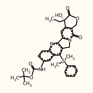 CC[C@@]1(O)C(=O)OCc2c1cc1n(c2=O)Cc2c-1nc1ccc(NC(=O)OC(C)(C)C)cc1c2[Si](C)(C)c1ccccc1